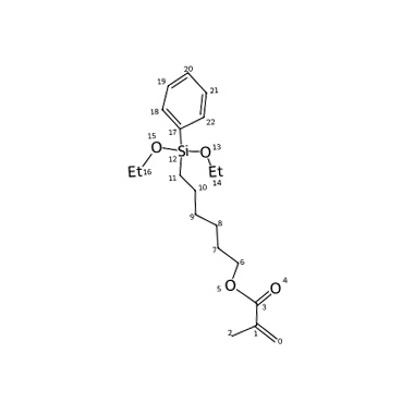 C=C(C)C(=O)OCCCCCC[Si](OCC)(OCC)c1ccccc1